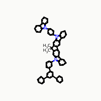 CC1(C)c2cc3c(cc2-c2cc4c5ccccc5n(-c5cccc(-c6cc(-c7ccccc7)cc(-c7ccccc7)c6)c5)c4cc21)c1ccccc1n3-c1ccc(-n2c3ccccc3c3ccccc32)cc1